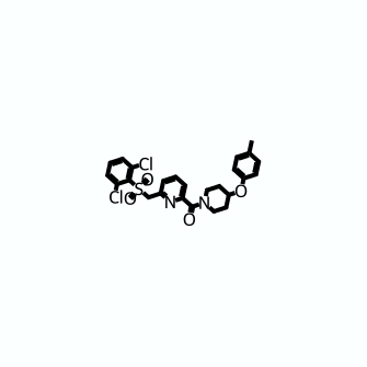 Cc1ccc(OC2CCN(C(=O)c3cccc(CS(=O)(=O)c4c(Cl)cccc4Cl)n3)CC2)cc1